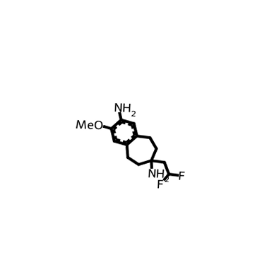 COc1cc2c(cc1N)CCC(N)(CC(F)F)CC2